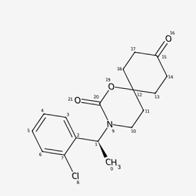 C[C@@H](c1ccccc1Cl)N1CCC2(CCC(=O)CC2)OC1=O